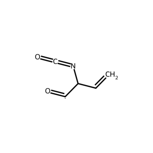 C=CC([C]=O)N=C=O